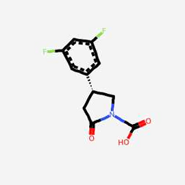 O=C(O)N1C[C@@H](c2cc(F)cc(F)c2)CC1=O